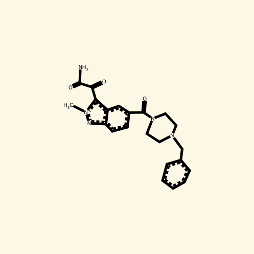 Cn1nc2ccc(C(=O)N3CCN(Cc4ccccc4)CC3)cc2c1C(=O)C(N)=O